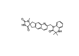 CN1C(=O)NC(=O)C12Cc1cc3ccc(CN4C(=O)C(C)(C)Nc5ccccc54)nc3cc1C2